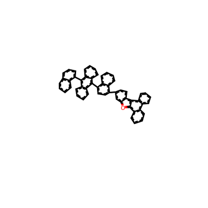 c1ccc2c(-c3c4ccccc4c(-c4ccc(-c5ccc6c(c5)oc5c7ccccc7c7ccccc7c65)c5ccccc45)c4ccccc34)cccc2c1